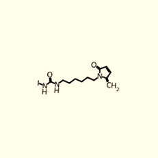 C=C1C=CC(=O)N1CCCCCCNC(=O)NI